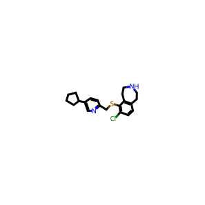 Clc1ccc2c(c1SCc1ccc(C3CCCC3)cn1)CCNCC2